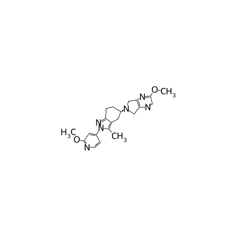 COc1cc(-n2nc3c(c2C)C[C@H](N2Cc4ncc(OC)nc4C2)CC3)ccn1